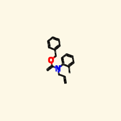 C=CCN(C(=C)OCc1ccccc1)c1ccccc1C